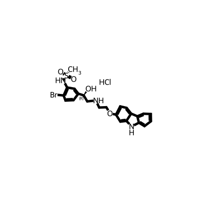 CS(=O)(=O)Nc1cc([C@@H](O)CNCCOc2ccc3c(c2)[nH]c2ccccc23)ccc1Br.Cl